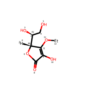 [2H][C@]1([C@@H](O)CO)OC(=O)C(O)=C1OCC